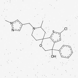 CC1CC2(CCN1Cc1cnn(C)c1)OCC(O)(c1ccccc1)c1cc(Cl)sc12